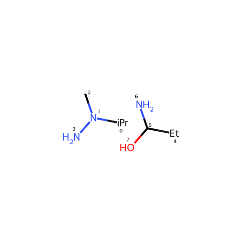 CC(C)N(C)N.CCC(N)O